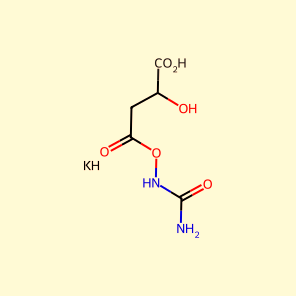 NC(=O)NOC(=O)CC(O)C(=O)O.[KH]